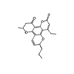 CCCC1C=Cc2c3c(c4oc(=O)cc(CC)c4c2O1)C(=O)CC(C)O3